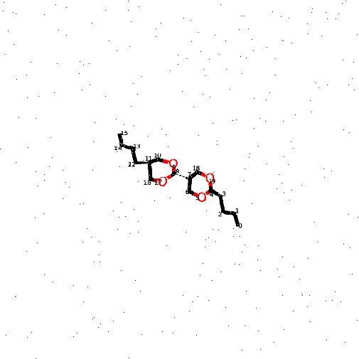 CCCCC1OCC([C@H]2OC[C@H](CCCC)CO2)CO1